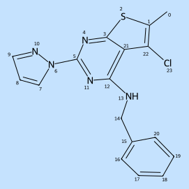 Cc1sc2nc(-n3cccn3)nc(NCc3ccccc3)c2c1Cl